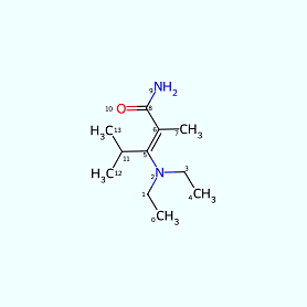 CCN(CC)/C(=C(\C)C(N)=O)C(C)C